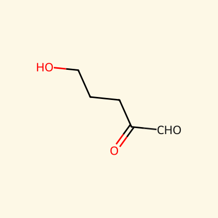 O=CC(=O)CCCO